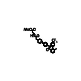 COC(=O)CCNC(=O)CC1CCN(c2ccc(NC(=O)c3cccc(C)c3-c3ccc(C(F)(F)F)cc3)cc2)CC1